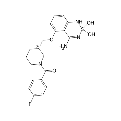 NC1=NS(O)(O)Nc2cccc(OC[C@H]3CCCN(C(=O)c4ccc(F)cc4)C3)c21